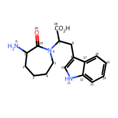 NC1CCCCN(C(Cc2c[nH]c3ccccc23)C(=O)O)C1=O